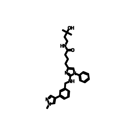 Cn1cc(-c2cccc(CNc3nc(CCCC(=O)NCCC(C)(C)O)cn3-c3ccccc3)c2)cn1